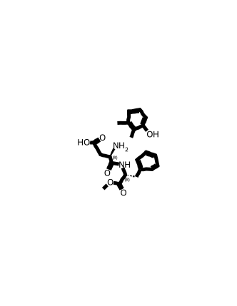 COC(=O)[C@@H](Cc1ccccc1)NC(=O)[C@H](N)CC(=O)O.Cc1cccc(O)c1C